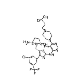 C[C@@H]1CC[C@@H](N)N1Cc1sc(Nc2ncnc(N3CCN(CCC(=O)O)CC3)c2F)nc1-c1cc(Cl)cc(C(F)(F)F)c1